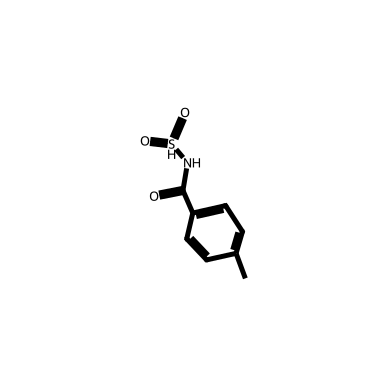 Cc1ccc(C(=O)N[SH](=O)=O)cc1